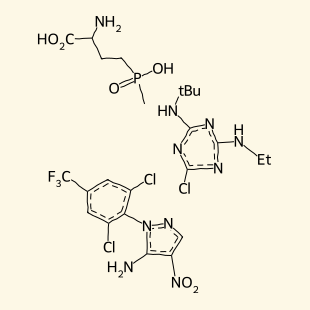 CCNc1nc(Cl)nc(NC(C)(C)C)n1.CP(=O)(O)CCC(N)C(=O)O.Nc1c([N+](=O)[O-])cnn1-c1c(Cl)cc(C(F)(F)F)cc1Cl